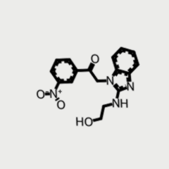 O=C(Cn1c(NCCO)nc2ccccc21)c1cccc([N+](=O)[O-])c1